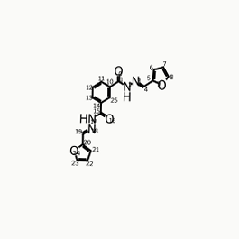 O=C(NN=Cc1ccco1)c1cccc(C(=O)NN=Cc2ccco2)c1